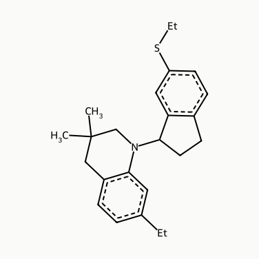 CCSc1ccc2c(c1)C(N1CC(C)(C)Cc3ccc(CC)cc31)CC2